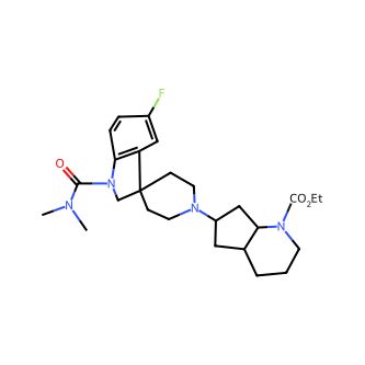 CCOC(=O)N1CCCC2CC(N3CCC4(CC3)CN(C(=O)N(C)C)c3ccc(F)cc34)CC21